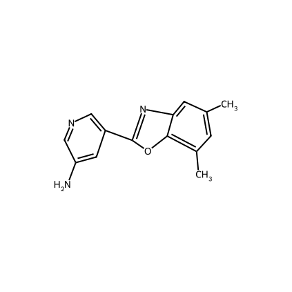 Cc1cc(C)c2oc(-c3cncc(N)c3)nc2c1